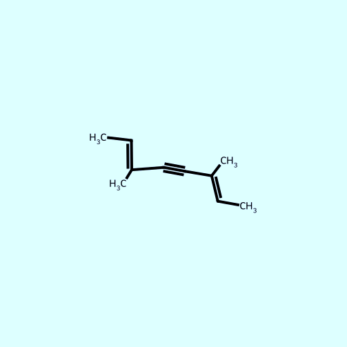 C/C=C(\C)C#C/C(C)=C/C